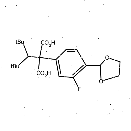 CC(C)(C)C(C(C)(C)C)C(C(=O)O)(C(=O)O)c1ccc(C2OCCO2)c(F)c1